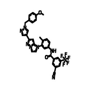 COc1ccc(Cn2cc(-c3cc4n(-c5cc(NC(=O)c6cc(C#N)cc(S(F)(F)(F)(F)F)c6)ccc5C)ccn4n3)cn2)cc1